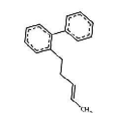 CC=CCCc1ccccc1-c1ccccc1